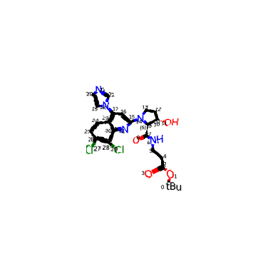 CC(C)(C)OC(=O)CCNC(=O)[C@@H]1[C@@H](O)CCN1c1cc(-n2ccnc2)c2ccc(Cl)c(Cl)c2n1